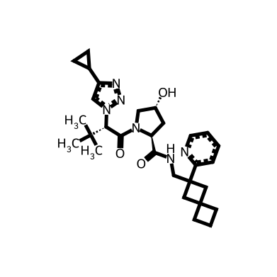 CC(C)(C)[C@@H](C(=O)N1C[C@H](O)C[C@H]1C(=O)NCC1(c2ccccn2)CC2(CCC2)C1)n1cc(C2CC2)nn1